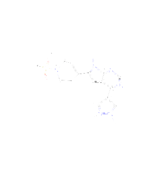 Cn1cc(-c2ncnc3[nH]c(C4=CCN(S(C)(=O)=O)CC4)cc23)cn1